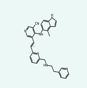 Cc1c(Nc2c(C#N)cncc2/C=C/c2cccc(CNCCc3cccnc3)n2)ccc2[nH]ccc12